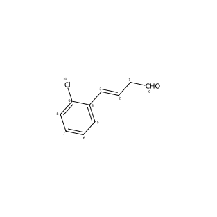 O=CCC=Cc1ccccc1Cl